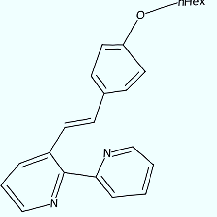 CCCCCCOc1ccc(C=Cc2cccnc2-c2ccccn2)cc1